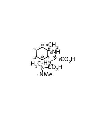 CN[C@@H](C)C(=O)O.C[C@H](NC1(C)CCCCC1)C(=O)O